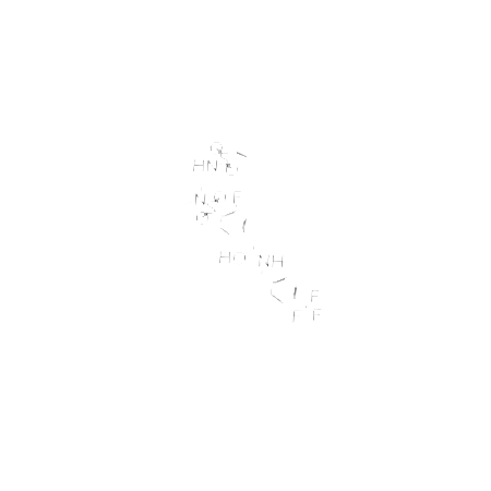 C=CS(=O)(=O)NC[C@H]1CCCN1S(=O)(=O)c1ccc(CC(O)NCc2ccc(C(F)(F)F)cc2)cc1F